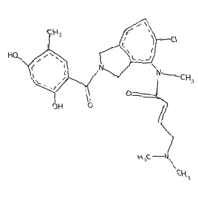 Cc1cc(C(=O)N2Cc3ccc(Cl)c(N(C)C(=O)/C=C/CN(C)C)c3C2)c(O)cc1O